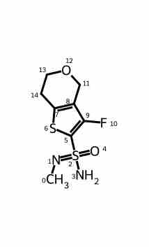 CN=S(N)(=O)c1sc2c(c1F)COCC2